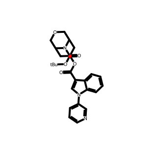 CC(C)(C)OC(=O)N1C2COCC1CC(OC(=O)c1cn(-c3cccnc3)c3ccccc13)C2